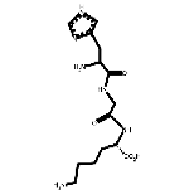 NCCCC[C@H](NC(=O)CNC(=O)C(N)Cc1c[nH]cn1)C(=O)O